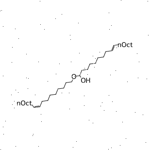 CCCCCCCCC=CCCCCCCCC(O)OCCCCCCCC/C=C\CCCCCCCC